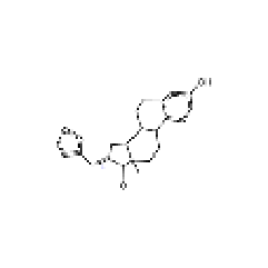 CC12CCC3c4ccc(O)cc4CCC3C1C/C(=C\c1cccs1)C2=O